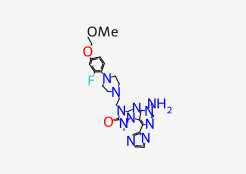 COCCOc1ccc(N2CCN(CCN3C(=O)N(C)N4C5=C(c6cnccn6)N=CN(N)C5=NC34)CC2)c(F)c1